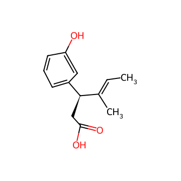 CC=C(C)[C@@H](CC(=O)O)c1cccc(O)c1